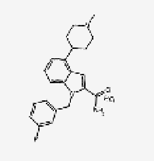 CN1CCC(c2cccc3c2cc(C(N)=O)n3Cc2cccc(F)c2)CC1.Cl